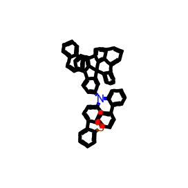 c1ccc(-c2ccccc2N(c2ccc3c(c2)C2(c4ccccc4-3)c3ccccc3-c3cccc4ccc(-c5cccc6ccccc56)c2c34)c2ccc3c(c2)sc2ccccc23)cc1